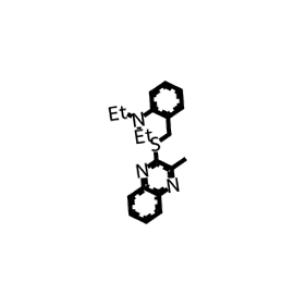 CCN(CC)c1ccccc1CSc1nc2ccccc2nc1C